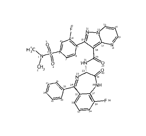 CN(C)S(=O)(=O)c1ccc(-c2nn3cccnc3c2C(=O)N[C@H]2N=C(c3ccccc3)c3cccc(F)c3NC2=O)c(F)c1